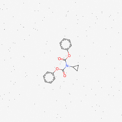 O=C(Oc1ccccc1)N(C(=O)Oc1ccccc1)C1CC1